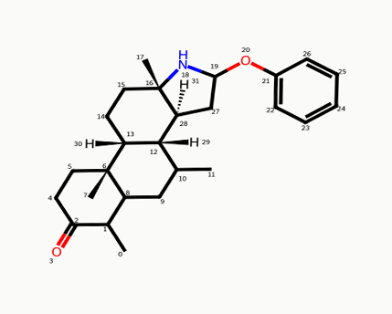 CC1C(=O)CC[C@@]2(C)C1CC(C)[C@@H]1[C@H]2CC[C@]2(C)NC(Oc3ccccc3)C[C@@H]12